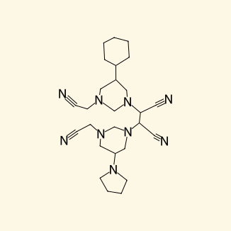 N#CCN1CC(C2CCCCC2)CN(C(C#N)C(C#N)N2CC(N3CCCC3)CN(CC#N)C2)C1